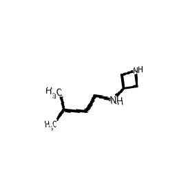 CC(C)CCNC1CNC1